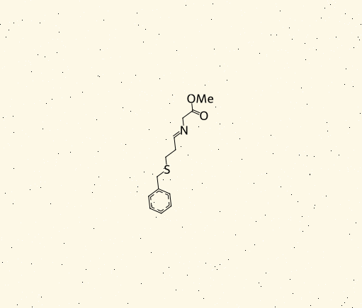 COC(=O)CN=CCCSCc1ccccc1